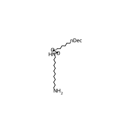 CCCCCCCCCCCCCCCCS(=O)(=O)NCCCCCCCCCCCCN